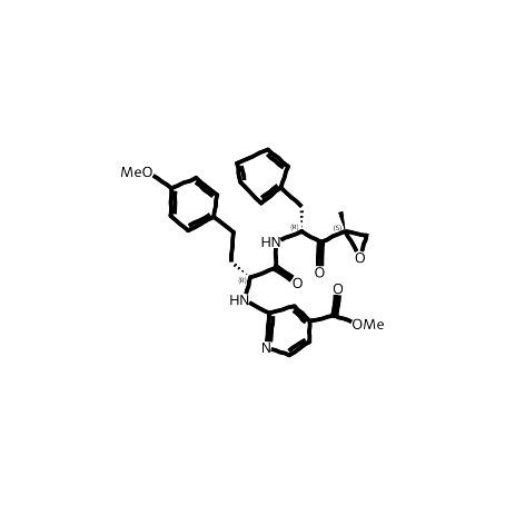 COC(=O)c1ccnc(N[C@H](CCc2ccc(OC)cc2)C(=O)N[C@H](Cc2ccccc2)C(=O)[C@]2(C)CO2)c1